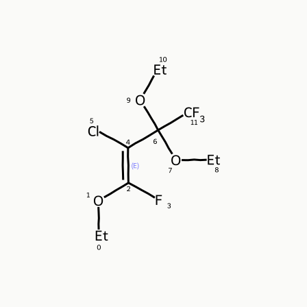 CCO/C(F)=C(\Cl)C(OCC)(OCC)C(F)(F)F